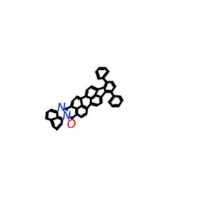 O=c1c2ccc3c4ccc5c6c(ccc(c7ccc(c2c37)c2nc3cccc7cccc(c73)n12)c64)-c1c(-c2ccccc2)ccc(-c2ccccc2)c1-5